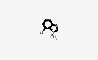 CCc1cccc2ncn(C)c12